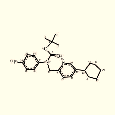 CC(C)(C)OC(=O)N(Cc1ccc(C2CCCCC2)cn1)c1ccc(F)cc1